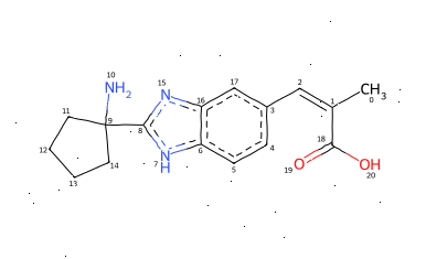 CC(=Cc1ccc2[nH]c(C3(N)CCCC3)nc2c1)C(=O)O